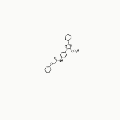 O=C(COc1ccccc1)Nc1ccc(-c2oc(-c3ccccc3)nc2C(=O)O)cc1